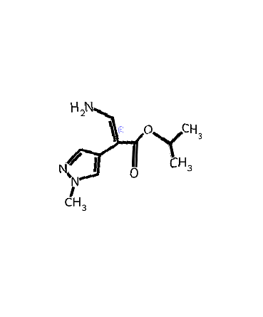 CC(C)OC(=O)/C(=C/N)c1cnn(C)c1